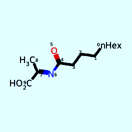 CCCCCCCCCC(=O)N=C(C)C(=O)O